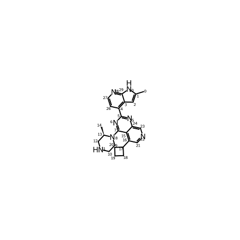 Cc1cc2c(-c3nc(N4CCNC[C@H]4C)c4c(C5CCC5)cncc4n3)ccnc2[nH]1